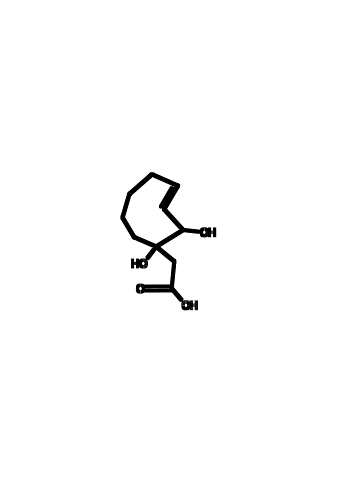 O=C(O)CC1(O)CCCC/C=C/C1O